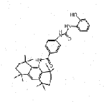 CC1(C)CCC(C)(C)c2c1cc1c(c2NC(=O)c2ccc(NC(=O)Nc3ccccc3O)cc2)C(C)(C)CCC1(C)C